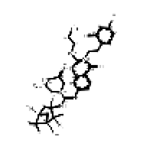 C[C@H]1[C@@H](NC(=Nc2ccc3c(=O)n(CCc4ccc(Cl)cc4Cl)c(NCCO)nc3c2)N2CC(=O)N[C@@H](C)C2)C[C@H]2C[C@H]1C2(C)C